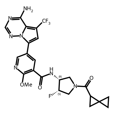 COc1ncc(-c2cc(C(F)(F)F)c3c(N)ncnn23)cc1C(=O)N[C@@H]1CN(C(=O)C2CC23CC3)C[C@@H]1F